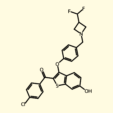 O=C(c1ccc(Cl)cc1)c1sc2cc(O)ccc2c1Oc1ccc(CN2CC(C(F)F)C2)cc1